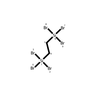 Br[Si](Br)(Br)CC[Si](Br)(Br)Br